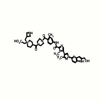 Cc1cc(NC(=O)c2ncc(-c3cn(-c4ccc5[nH]c(CO)cc5n4)nc3C(F)(F)F)n2C)ccc1C(=O)N1CCN(C(=O)C2CC[N+](CC(=O)O)(CC3CNC3)CC2)CC1